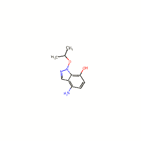 CC(C)On1ncc2c(N)ccc(O)c21